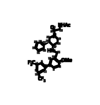 COc1ccc(-c2cc(C(F)(F)F)cc(C(F)(F)F)c2)cc1CN[C@H]1CCN(C(=O)CNC(C)=O)C[C@H]1c1ccccc1